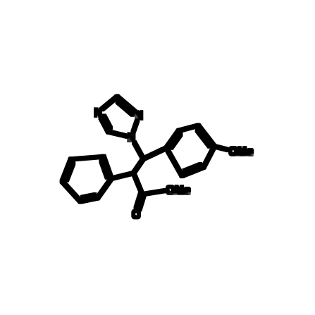 COC(=O)C(c1ccccc1)C(c1ccc(OC)cc1)n1cncn1